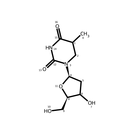 CC1CN([C@H]2CC(O)[C@@H](CO)O2)C(=O)NC1=O